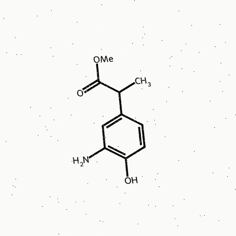 COC(=O)C(C)c1ccc(O)c(N)c1